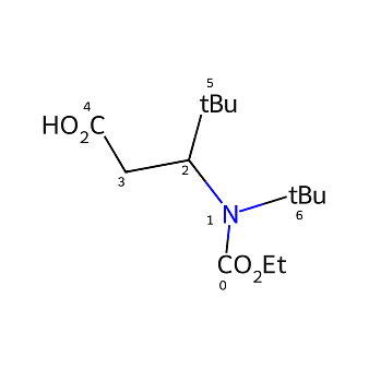 CCOC(=O)N(C(CC(=O)O)C(C)(C)C)C(C)(C)C